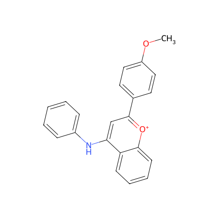 COc1ccc(-c2cc(Nc3ccccc3)c3ccccc3[o+]2)cc1